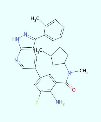 Cc1ccccc1-c1n[nH]c2ncc(-c3cc(F)c(N)c(C(=O)N(C)C4CCC(C)C4)c3)cc12